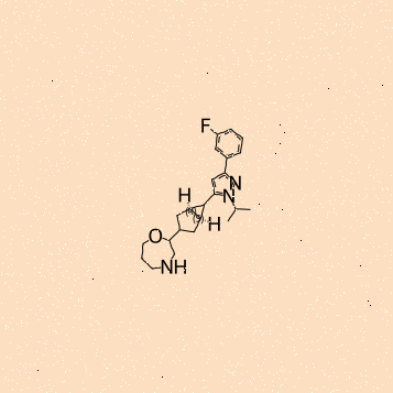 CC(C)n1nc(-c2cccc(F)c2)cc1C1[C@H]2CC(C3CNCCCO3)C[C@@H]12